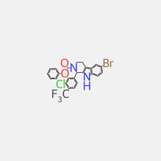 O=C(Oc1ccccc1Cl)N1CCc2c([nH]c3ccc(Br)cc23)C1c1ccc(C(F)(F)F)cc1